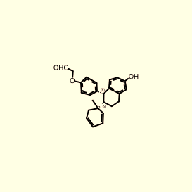 CC1([C@H]2CCc3cc(O)ccc3[C@H]2c2ccc(OCC=O)cc2)C=CC=CC1